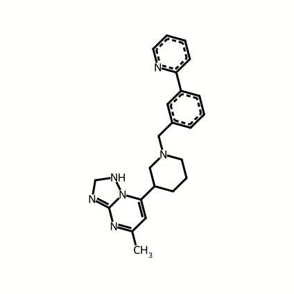 CC1=NC2=NCNN2C(C2CCCN(Cc3cccc(-c4ccccn4)c3)C2)=C1